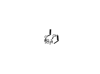 C=CC.C=COS(=O)(=O)O.O=S(=O)(O)O